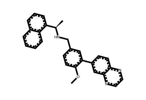 COc1ccc(CN[C@H](C)c2cccc3ccccc23)cc1-c1ccc2nccnc2c1